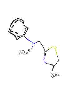 CC(=O)OC1CSC(CN(C(=O)O)c2ccccc2)=N1